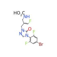 O=C(O)NCC(=CF)Cn1ncn(-c2c(F)cc(Br)cc2F)c1=O